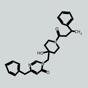 CC(CC(=O)N1CCC(O)(Cn2cnc(Cc3ccccc3)cc2=O)CC1)c1ccccc1